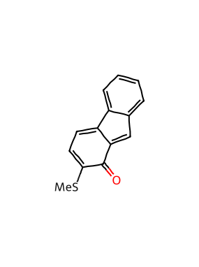 CSC1=CC=C2C(=Cc3ccccc32)C1=O